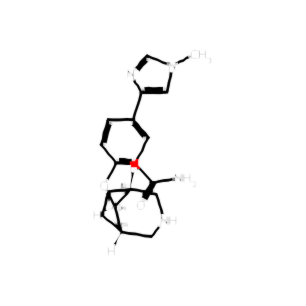 Cn1cnc(-c2ccc(O[C@H]3[C@@H]4CC[C@H]3CNC4)c(C(N)=O)c2)c1